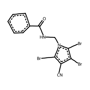 N#Cc1c(Br)c(Br)n(CNC(=O)c2ccccc2)c1Br